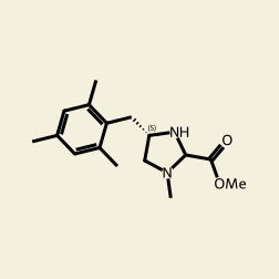 COC(=O)C1N[C@@H](Cc2c(C)cc(C)cc2C)CN1C